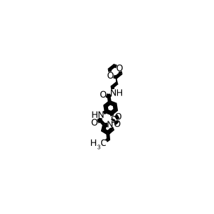 CCc1cc2n(c1)S(=O)(=O)c1ccc(C(=O)NCC[C@@H]3COCCO3)cc1NC2=O